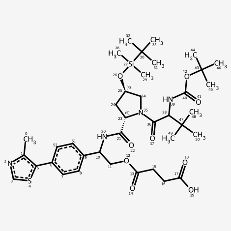 Cc1ncsc1-c1ccc(C(COC(=O)CCC(=O)O)NC(=O)[C@@H]2C[C@@H](O[Si](C)(C)C(C)(C)C)CN2C(=O)C(NC(=O)OC(C)(C)C)C(C)(C)C)cc1